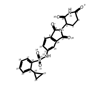 O=C1CCC(N2C(=O)c3ccc(NS(=O)(=O)c4ccccc4C4CC4)cc3C2=O)C(=O)N1